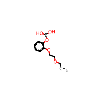 CCOCCOc1ccccc1OB(O)O